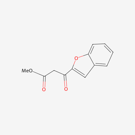 COC(=O)CC(=O)c1cc2ccccc2o1